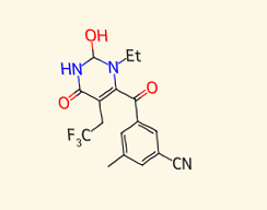 CCN1C(C(=O)c2cc(C)cc(C#N)c2)=C(CC(F)(F)F)C(=O)NC1O